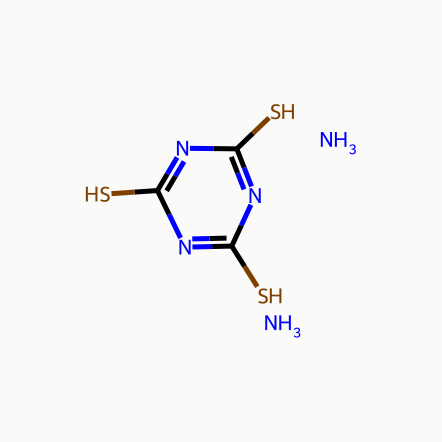 N.N.Sc1nc(S)nc(S)n1